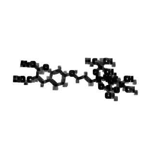 CCOC(=O)C(=Cc1ccc(OC/C=C/[Si](C)(O[Si](C)(C)C)O[Si](C)(C)O[Si](C)(C)C)cc1)C(=O)OC